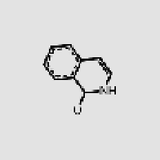 [O]C1NC=Cc2ccccc21